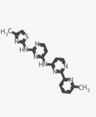 Cc1cccc(-c2nccc(Nc3ccnc(Nc4nc(C)cs4)n3)n2)n1